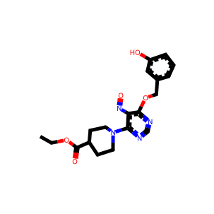 CCOC(=O)C1CCN(c2ncnc(OCc3cccc(O)c3)c2N=O)CC1